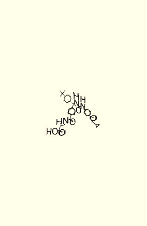 CC(C)(C)[C@H]1CC[C@H](C(NC(=O)Nc2ccc(OCC3CC3)cc2)c2ccc(C(=O)NCCC(=O)O)cc2)CC1